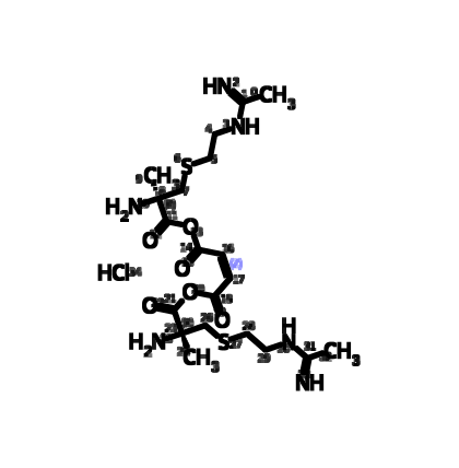 CC(=N)NCCSC[C@](C)(N)C(=O)OC(=O)/C=C\C(=O)OC(=O)[C@@](C)(N)CSCCNC(C)=N.Cl